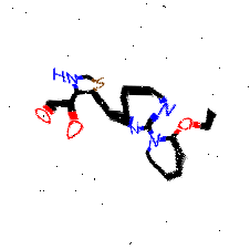 CCOC1CCCCN1c1nccc(/C=C2\SCNC2C(=O)C=O)n1